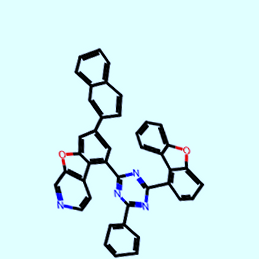 c1ccc(-c2nc(-c3cccc4oc5ccccc5c34)nc(-c3cc(-c4ccc5ccccc5c4)cc4oc5cnccc5c34)n2)cc1